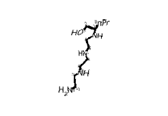 CCCC(CO)NCCNCCNCCN